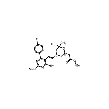 CNc1nc(-c2ccc(F)cc2)c(C=C[C@@H]2C[C@H](CC(=O)OC(C)(C)C)OC(C)(C)O2)c(C(C)C)n1